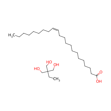 CCC(CO)(CO)CO.CCCCCCCC/C=C\CCCCCCCCCCCC(=O)O